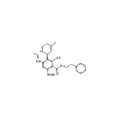 C=C(C)[C@@H]1CCC(C)=C[C@H]1c1c(O)cc(CCCCC)c(C(=O)OCCc2ccccc2)c1O